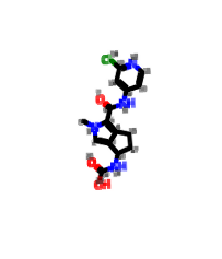 Cn1cc2c(c1C(=O)Nc1ccnc(Cl)c1)CCC2NC(=O)O